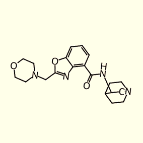 O=C(NC1CN2CCC1CC2)c1cccc2oc(CN3CCOCC3)nc12